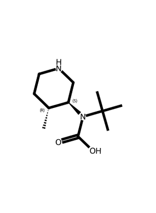 C[C@@H]1CCNC[C@H]1N(C(=O)O)C(C)(C)C